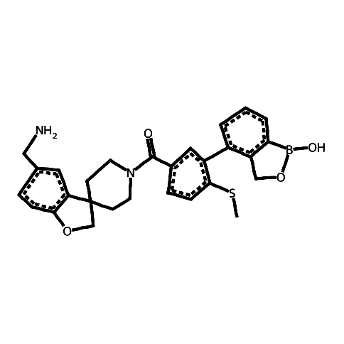 CSc1ccc(C(=O)N2CCC3(CC2)COc2ccc(CN)cc23)cc1-c1cccc2c1COB2O